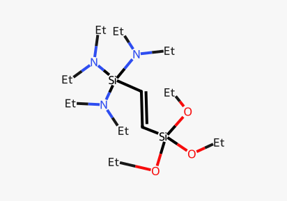 CCO[Si](C=C[Si](N(CC)CC)(N(CC)CC)N(CC)CC)(OCC)OCC